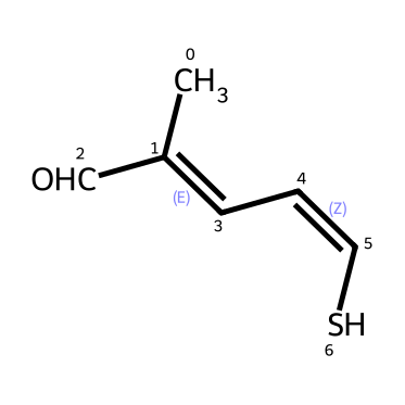 C/C(C=O)=C\C=C/S